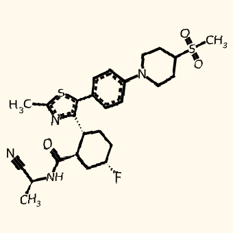 Cc1nc([C@@H]2CC[C@H](F)C[C@H]2C(=O)N[C@@H](C)C#N)c(-c2ccc(N3CCC(S(C)(=O)=O)CC3)cc2)s1